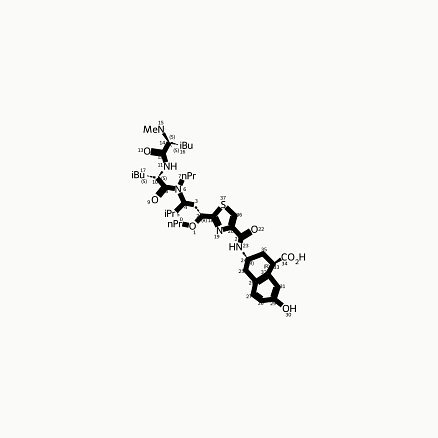 CCCO[C@H](CC(C(C)C)N(CCC)C(=O)[C@@H](NC(=O)[C@@H](NC)[C@@H](C)CC)[C@@H](C)CC)c1nc(C(=O)N[C@H]2Cc3ccc(O)cc3[C@H](C(=O)O)C2)cs1